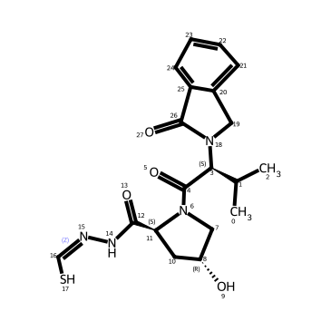 CC(C)[C@@H](C(=O)N1C[C@H](O)C[C@H]1C(=O)N/N=C\S)N1Cc2ccccc2C1=O